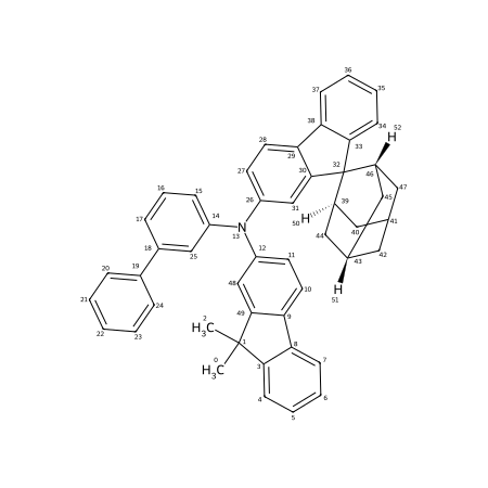 CC1(C)c2ccccc2-c2ccc(N(c3cccc(-c4ccccc4)c3)c3ccc4c(c3)C3(c5ccccc5-4)[C@H]4CC5C[C@H](C4)C[C@H]3C5)cc21